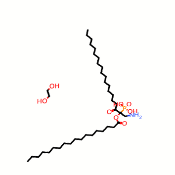 CCCCCCCCCCCCCCCCCC(=O)OC(CN)(C(=O)CCCCCCCCCCCCCCCCC)P(=O)(O)O.OCCO